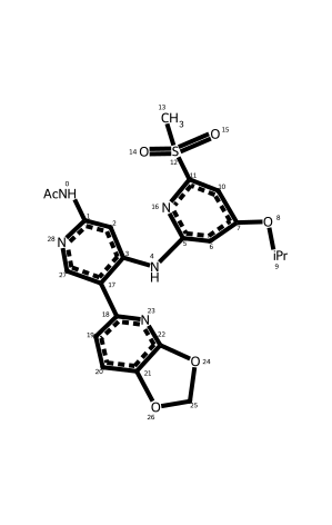 CC(=O)Nc1cc(Nc2cc(OC(C)C)cc(S(C)(=O)=O)n2)c(-c2ccc3c(n2)OCO3)cn1